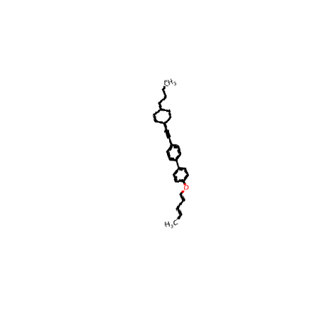 CCCCCOc1ccc(-c2ccc(C#CC3CCC(CCCC)CC3)cc2)cc1